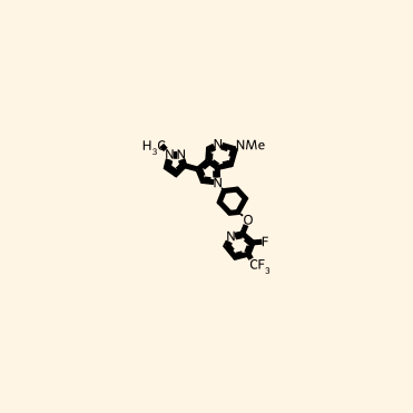 CNc1cc2c(cn1)c(-c1ccn(C)n1)cn2[C@H]1CC[C@@H](Oc2nccc(C(F)(F)F)c2F)CC1